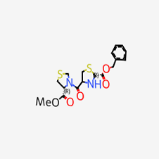 COC(=O)[C@@H]1CSCN1C(=O)C1CS[C@H](C(=O)OCc2ccccc2)N1